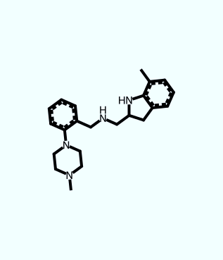 Cc1cccc2c1NC(CNCc1ccccc1N1CCN(C)CC1)C2